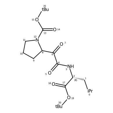 CC(C)C[C@@H](NC(=O)C(=O)C1CCCN1C(=O)OC(C)(C)C)C(=O)OC(C)(C)C